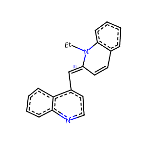 CCN1/C(=C/c2ccnc3ccccc23)C=Cc2ccccc21